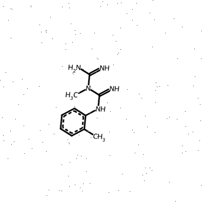 Cc1ccccc1NC(=N)N(C)C(=N)N